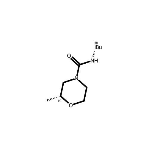 CC[C@@H](C)NC(=O)N1CCO[C@H](C)C1